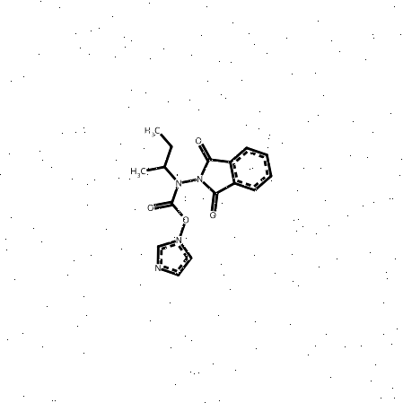 CCC(C)N(C(=O)On1ccnc1)N1C(=O)c2ccccc2C1=O